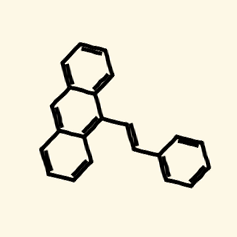 C(=Cc1c2ccccc2cc2ccccc12)c1ccccc1